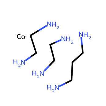 NCCCN.NCCN.NCCN.[Co]